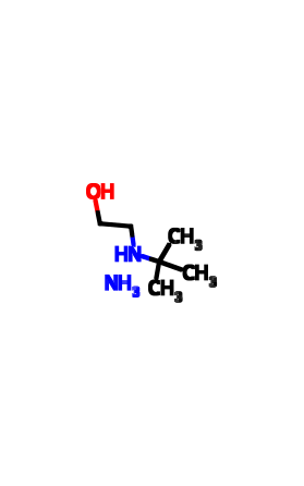 CC(C)(C)NCCO.N